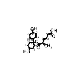 CC(CCCC(=O)O)C(=O)OC1(C2CCC(O)CC2)CCC(O)CC1